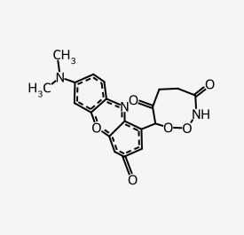 CN(C)c1ccc2nc3c(C4OONC(=O)CCC4=O)cc(=O)cc-3oc2c1